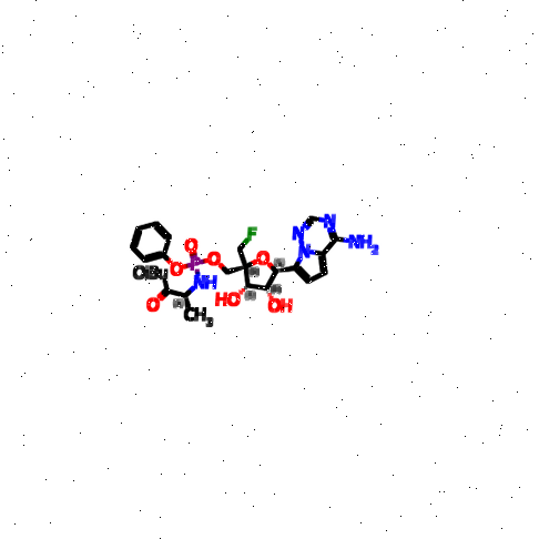 CC(C)COC(=O)[C@H](C)NP(=O)(OC[C@@]1(CF)O[C@@H](c2ccc3c(N)ncnn23)[C@H](O)[C@@H]1O)Oc1ccccc1